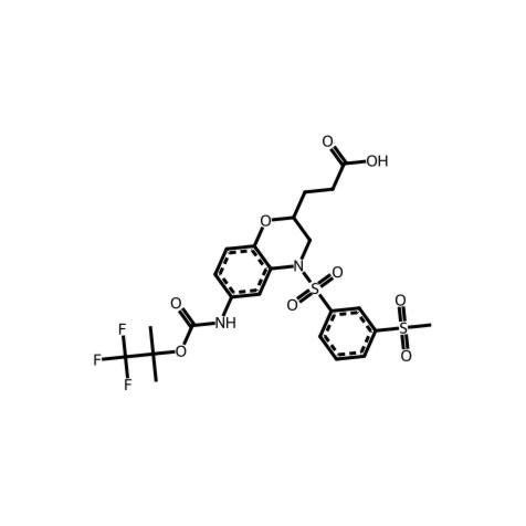 CC(C)(OC(=O)Nc1ccc2c(c1)N(S(=O)(=O)c1cccc(S(C)(=O)=O)c1)CC(CCC(=O)O)O2)C(F)(F)F